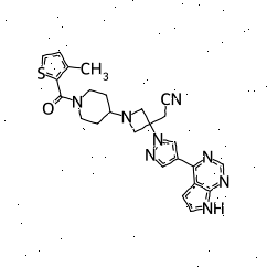 Cc1ccsc1C(=O)N1CCC(N2CC(CC#N)(n3cc(-c4ncnc5[nH]ccc45)cn3)C2)CC1